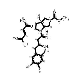 COC(=O)N1C[C@@H]2CCN(C(=O)CC(N)Cc3cc(F)c(F)cc3F)[C@@H]2C1.O=C(O)C=CC(=O)O